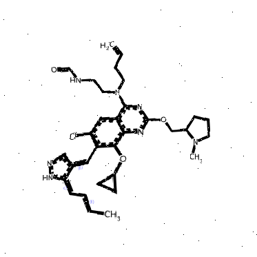 C=CCCN(CCNC=O)c1nc(OCC2CCCN2C)nc2c(OC3CC3)c(\C=c3/cn[nH]/c3=C/C=C/C)c(Cl)cc12